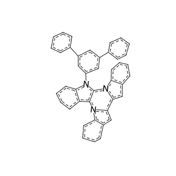 c1ccc(-c2cc(-c3ccccc3)cc(-n3c4ccccc4c4c3n3c5ccccc5cc3c3cc5ccccc5n34)c2)cc1